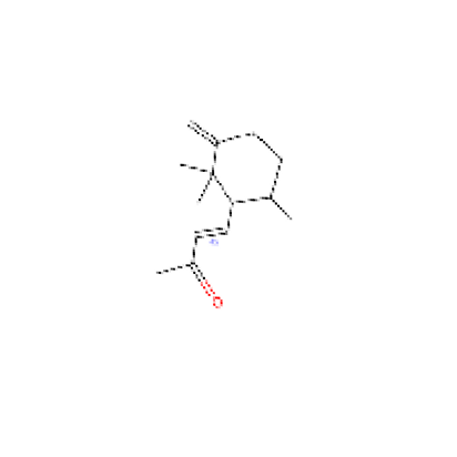 C=C1CCC(C)C(/C=C/C(C)=O)C1(C)C